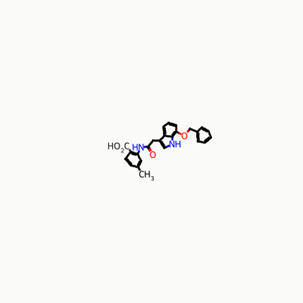 Cc1ccc(C(=O)O)c(NC(=O)Cc2c[nH]c3c(OCc4ccccc4)cccc23)c1